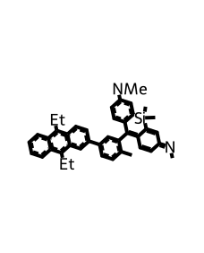 CCc1c2ccccc2c(CC)c2cc(-c3ccc(C)c(C4=C5C=C/C(=N\C)C=C5[Si](C)(C)c5cc(NC)ccc54)c3)ccc12